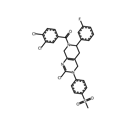 CS(=O)(=O)c1ccc(N2CC3=C(CN(C(=O)c4ccc(Cl)c(Cl)c4)C(c4cccc(F)c4)C3)N=C2Cl)cc1